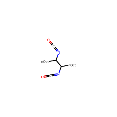 CCCCCCCCC(N=C=O)C(CCCCCCCC)N=C=O